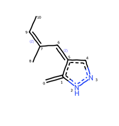 C=c1[nH]nc/c1=C/C(C)=C\C